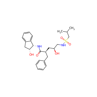 CC(C)CS(=O)(=O)NC[C@@H](O)C[C@@H](Cc1ccccc1)C(=O)N[C@H]1c2ccccc2C[C@H]1O